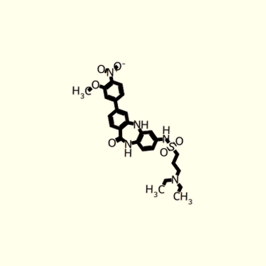 CCN(CC)CCCS(=O)(=O)Nc1ccc2c(c1)Nc1cc(-c3ccc([N+](=O)[O-])c(OC)c3)ccc1C(=O)N2